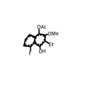 CCc1c(OC)c(OC(C)=O)c2cccc(F)c2c1O